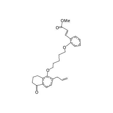 C=CCc1ccc2c(c1OCCCCCOc1ccccc1/C=C/C(=O)OC)CCCC2=O